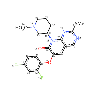 CSc1ncc2cc(Oc3ccc(F)cc3F)c(=O)n([C@@H]3CCCN(C(=O)O)C3)c2n1